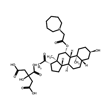 CC(=O)[C@H]1CC[C@H]2[C@@H]3CC[C@H]4C[C@H](O)CC[C@]4(C)[C@H]3[C@@H](OC(=O)CN3CCCCCC3)C[C@]12C.O=C(O)CC(O)(CC(=O)O)C(=O)O